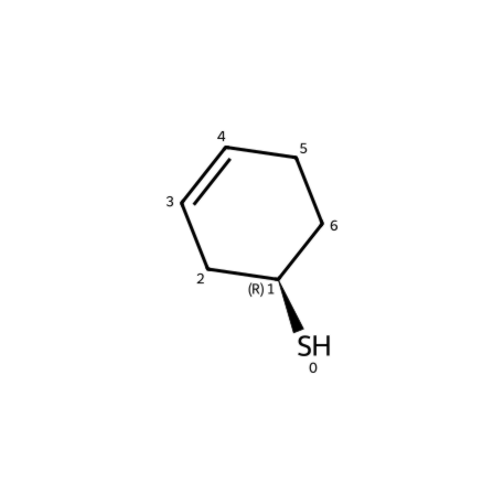 S[C@H]1CC=CCC1